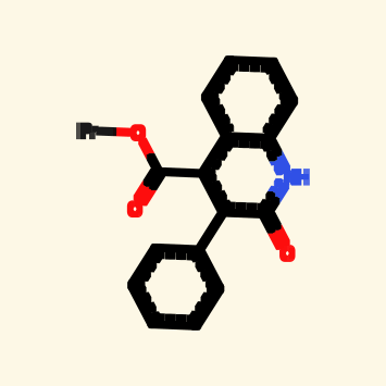 CC(C)OC(=O)c1c(-c2ccccc2)c(=O)[nH]c2ccccc12